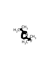 C=C(C)C1CN2CC1=CC=C2C(C)(C)F